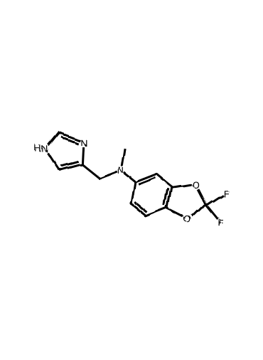 CN(Cc1c[nH]cn1)c1ccc2c(c1)OC(F)(F)O2